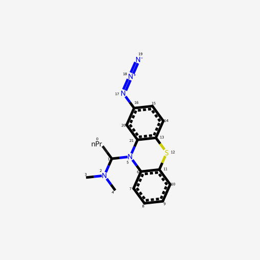 CCCC(N(C)C)N1c2ccccc2Sc2ccc(N=[N+]=[N-])cc21